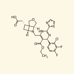 CCOC(=O)C1=C(CN2[C@@H]3COCC34[C@@H](CC(=O)O)C[C@@H]24)NC(c2nccs2)=N[C@H]1c1ccc(F)c(F)c1Cl